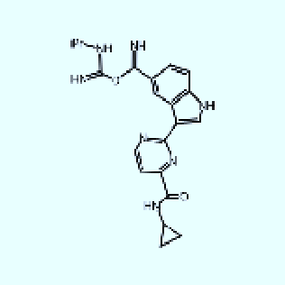 CC(C)NC(=N)OC(=N)c1ccc2[nH]cc(-c3nccc(C(=O)NC4CC4)n3)c2c1